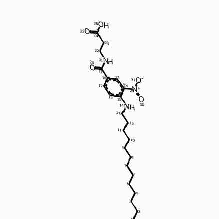 CCCCCCCCCCCCCCNc1ccc(C(=O)NCCC(=O)O)cc1[N+](=O)[O-]